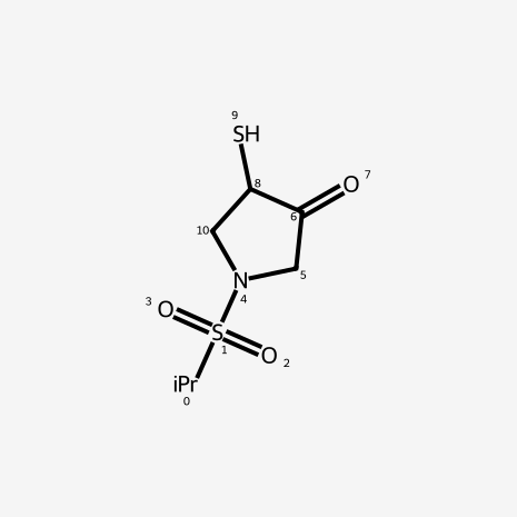 CC(C)S(=O)(=O)N1CC(=O)C(S)C1